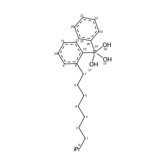 CC(C)CCCCCCCc1ccccc1P(O)(O)(O)c1ccccc1